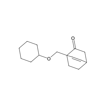 O=C1CC2C=CC1(COC1CCCCC1)CC2